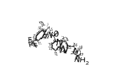 CC(C)CC(CNC(=O)c1cccc2nc(CN3CC[C@@H](N)C3)cn12)c1ccc(C(F)(F)F)cc1